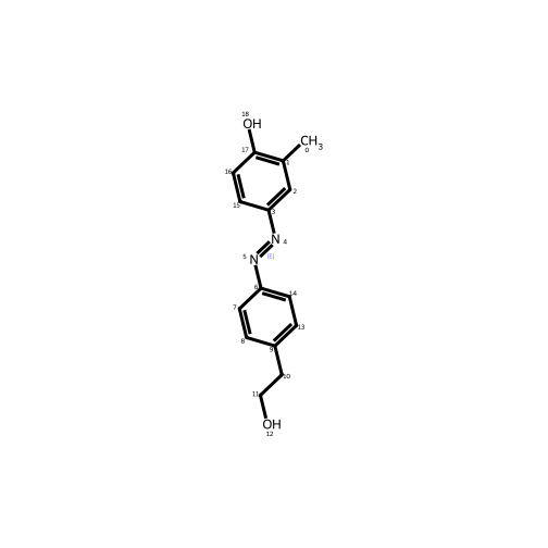 Cc1cc(/N=N/c2ccc(CCO)cc2)ccc1O